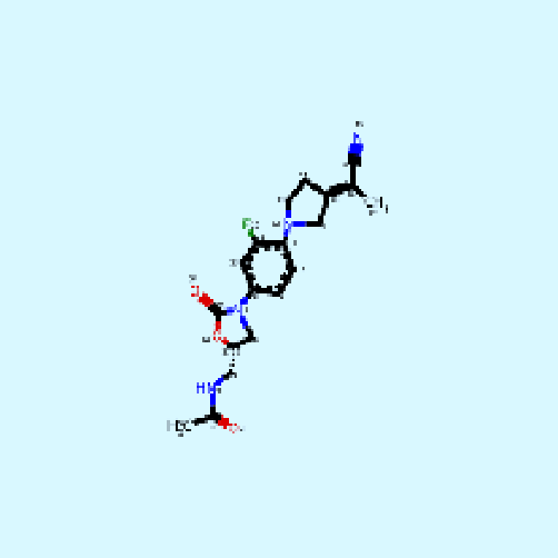 CC(=O)NC[C@H]1CN(c2ccc(N3CCC(=C(C)C#N)C3)c(F)c2)C(=O)O1